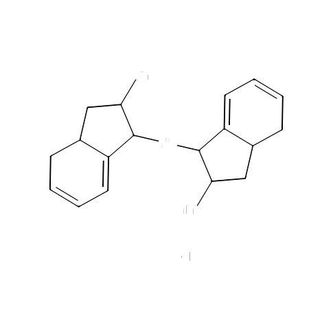 CC(C)C1CC2CC=CC=C2[CH]1[Zr+2][CH]1C2=CC=CCC2CC1C(C)C.[Cl-].[Cl-]